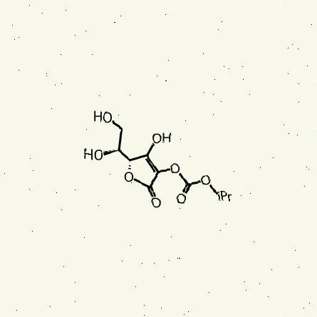 CC(C)OC(=O)OC1=C(O)[C@@H]([C@@H](O)CO)OC1=O